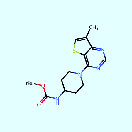 Cc1csc2c(N3CCC(NC(=O)OC(C)(C)C)CC3)ncnc12